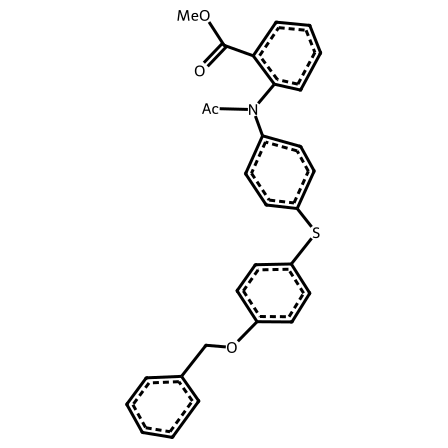 COC(=O)c1ccccc1N(C(C)=O)c1ccc(Sc2ccc(OCc3ccccc3)cc2)cc1